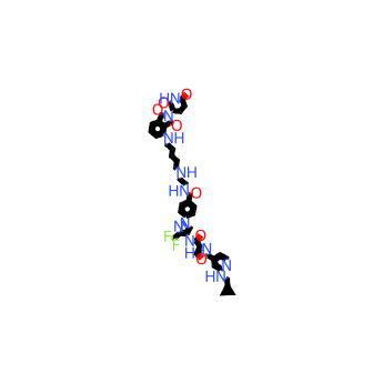 O=C1CCC(N2C(=O)c3cccc(NCCCCCNCCNC(=O)c4ccc(-n5cc(NC(=O)c6coc(-c7ccnc(NCC8CC8)c7)n6)c(C(F)F)n5)cc4)c3C2=O)C(=O)N1